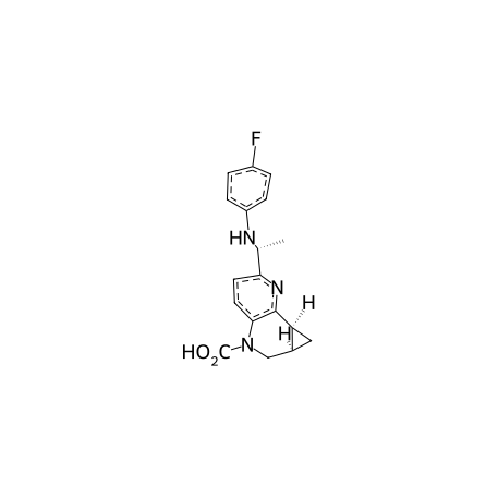 C[C@@H](Nc1ccc(F)cc1)c1ccc2c(n1)[C@H]1C[C@H]1CN2C(=O)O